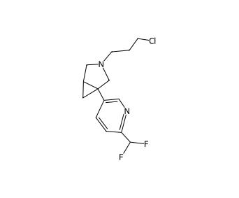 FC(F)c1ccc(C23CC2CN(CCCCl)C3)cn1